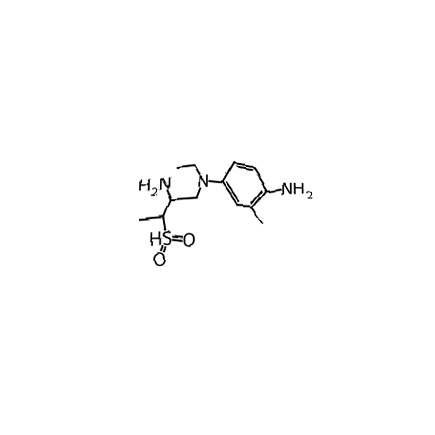 CCN(CC(N)C(C)[SH](=O)=O)c1ccc(N)c(C)c1